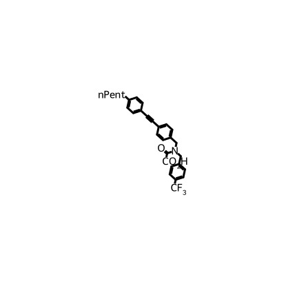 CCCCCc1ccc(C#Cc2ccc(CN(Cc3ccc(C(F)(F)F)cc3)C(=O)C(=O)O)cc2)cc1